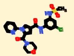 CS(=O)(=O)Nc1cc(Cl)cc(NC(=O)c2cc(C(=O)N3CCOCC3)n(-c3ccccn3)c2)c1